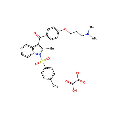 CCCCc1c(C(=O)c2ccc(OCCCN(CCCC)CCCC)cc2)c2ccccc2n1S(=O)(=O)c1ccc(C)cc1.O=C(O)C(=O)O